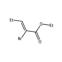 CCC=C(Br)C(=O)OCC